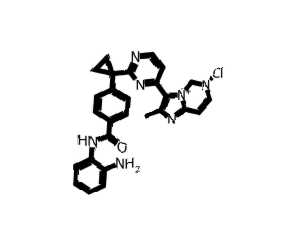 CC1=C(c2ccnc(C3(c4ccc(C(=O)Nc5ccccc5N)cc4)CC3)n2)[N+]2CN(Cl)C=CC2=N1